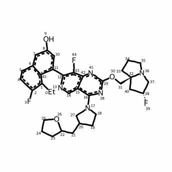 CCc1c(F)ccc2cc(O)cc(-c3ncc4c(N5CCC(CC6CCCO6)C5)nc(OC[C@@]56CCCN5C[C@H](F)C6)nc4c3F)c12